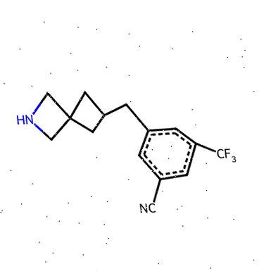 N#Cc1cc(CC2CC3(CNC3)C2)cc(C(F)(F)F)c1